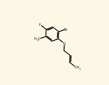 C/C=C/COc1cc(C)c(F)cc1Br